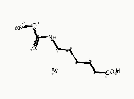 CC(C)(C)OC(=O)NCCCCCC(=O)O.[Ag]